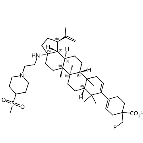 C=C(C)[C@@H]1CC[C@]2(NCCN3CCC(S(C)(=O)=O)CC3)CC[C@]3(C)[C@H](CC[C@@H]4C5(C)CC=C(C6=CCC(CF)(C(=O)O)CC6)C(C)(C)[C@@H]5CC[C@]43C)[C@@H]12